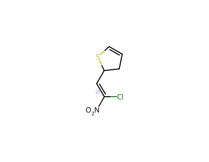 O=[N+]([O-])/C(Cl)=C/C1CC=CS1